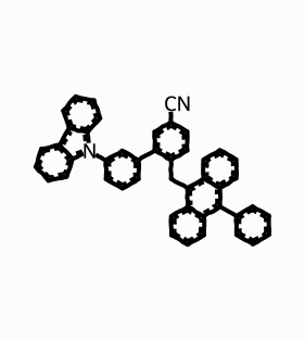 N#Cc1ccc(Cc2c3ccccc3c(-c3ccccc3)c3ccccc23)c(-c2cccc(-n3c4ccccc4c4ccccc43)c2)c1